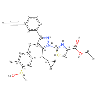 CC#Cc1cccc(-c2nn(-c3nc(C(=O)OCC)cs3)c(CC3CC3)c2Cc2ccc([S+](C)[O-])c(C)c2)c1